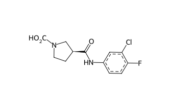 O=C(Nc1ccc(F)c(Cl)c1)[C@H]1CCN(C(=O)O)C1